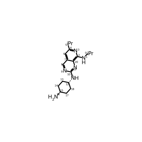 CC(C)Nc1nc(C(C)C)cc2cnc(N[C@H]3CC[C@H](N)CC3)nc12